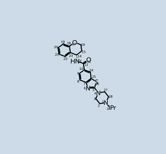 CC(C)N1CCN(c2nc3ccc(C(=O)N[C@H]4CCOc5ccccc54)cc3s2)CC1